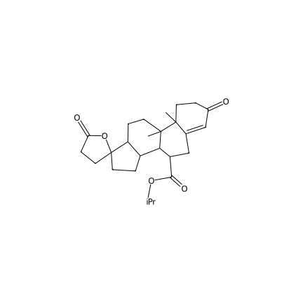 CC(C)OC(=O)C1CC2=CC(=O)CCC2(C)C2(C)CCC3C(CCC34CCC(=O)O4)C12